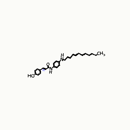 CCCCCCCCCCCCNc1ccc(NC(=O)/C=C/c2ccc(O)cc2)cc1